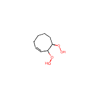 OOC1/C=C\CCCCC1OO